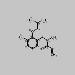 C=CC(=O)N(C)Cc1cccc(C)c1OCC(C)C